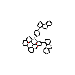 c1ccc(-c2cccc3cccc(-c4ccccc4N(c4ccc(-c5cccc6c5ccc5ccccc56)cc4)c4cccc(-c5cccc6sc7ccccc7c56)c4)c23)cc1